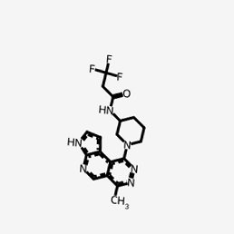 Cc1nnc(N2CCCC(NC(=O)CC(F)(F)F)C2)c2c1cnc1[nH]ccc12